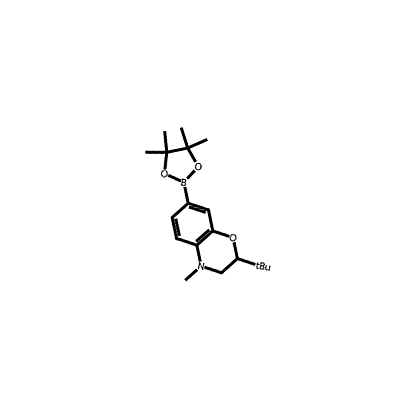 CN1CC(C(C)(C)C)Oc2cc(B3OC(C)(C)C(C)(C)O3)ccc21